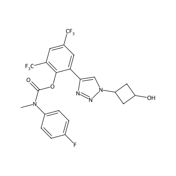 CN(C(=O)Oc1c(-c2cn(C3CC(O)C3)nn2)cc(C(F)(F)F)cc1C(F)(F)F)c1ccc(F)cc1